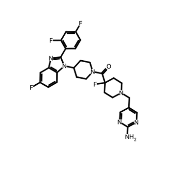 Nc1ncc(CN2CCC(F)(C(=O)N3CCC(n4c(-c5ccc(F)cc5F)nc5cc(F)ccc54)CC3)CC2)cn1